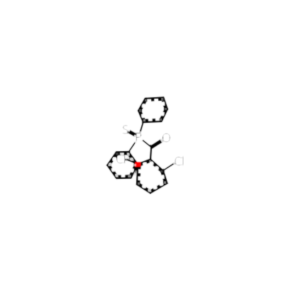 O=C(c1c(Cl)cccc1Cl)P(=S)(c1ccccc1)c1ccccc1